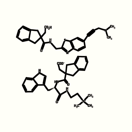 CN(C)CC#Cc1ccc2nc(CNC(=O)C3(CC(=O)O)Cc4ccccc4C3)sc2c1.C[N+](C)(C)CCNC(=O)[C@H](Cc1c[nH]c2ccccc12)NC(=O)C1(CC(=O)[O-])Cc2ccccc2C1